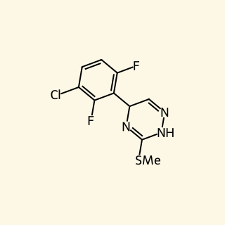 CSC1=NC(c2c(F)ccc(Cl)c2F)C=NN1